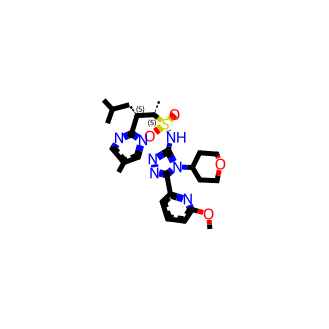 COc1cccc(-c2nnc(NS(=O)(=O)[C@@H](C)[C@@H](CC(C)C)c3ncc(C)cn3)n2C2CCOCC2)n1